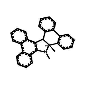 CN1c2c(c3ccccc3c3ccccc23)C2c3ccccc3-c3ccccc3[C@@]21C